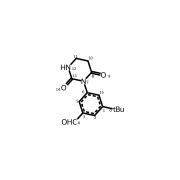 CC(C)(C)c1cc(C=O)cc(N2C(=O)CCNC2=O)c1